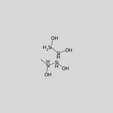 C[SiH](O)[SiH](O)[SiH](O)[SiH2]O